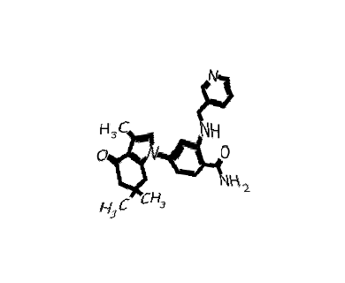 Cc1cn(-c2ccc(C(N)=O)c(NCc3cccnc3)c2)c2c1C(=O)CC(C)(C)C2